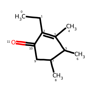 CCC1=C(C)C(C)C(C)CC1=O